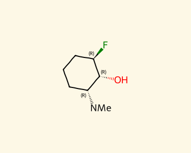 CN[C@@H]1CCC[C@@H](F)[C@@H]1O